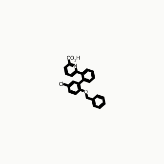 O=C(O)c1cccc(-c2ccccc2-c2cc(Cl)ccc2OCc2ccccc2)n1